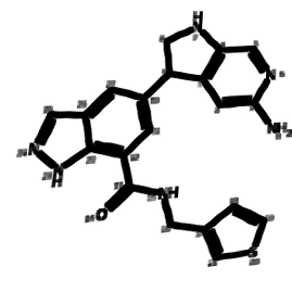 Nc1cc2c(cn1)NCC2c1cc(C(=O)NCc2ccsc2)c2[nH]ncc2c1